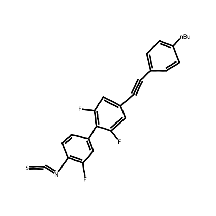 CCCCc1ccc(C#Cc2cc(F)c(-c3ccc(N=C=S)c(F)c3)c(F)c2)cc1